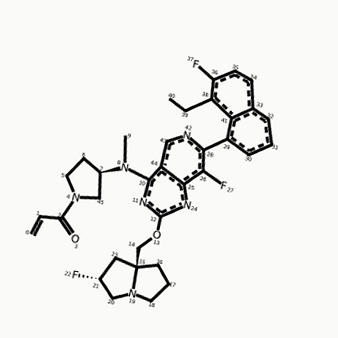 C=CC(=O)N1CC[C@@H](N(C)c2nc(OC[C@@]34CCCN3C[C@H](F)C4)nc3c(F)c(-c4cccc5ccc(F)c(CC)c45)ncc23)C1